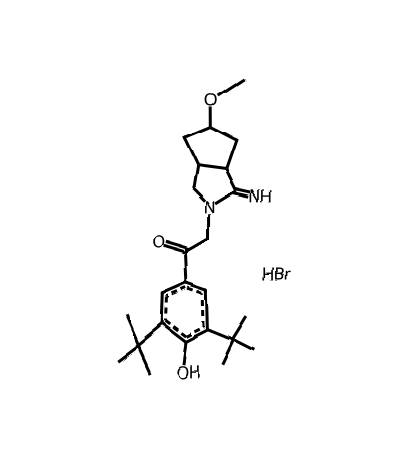 Br.COC1CC2CN(CC(=O)c3cc(C(C)(C)C)c(O)c(C(C)(C)C)c3)C(=N)C2C1